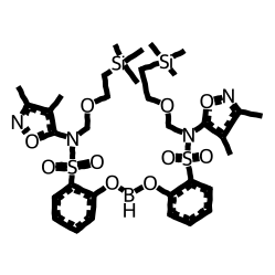 Cc1noc(N(COCC[Si](C)(C)C)S(=O)(=O)c2ccccc2OBOc2ccccc2S(=O)(=O)N(COCC[Si](C)(C)C)c2onc(C)c2C)c1C